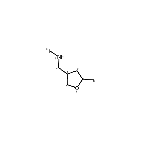 CC1CC(CNI)CO1